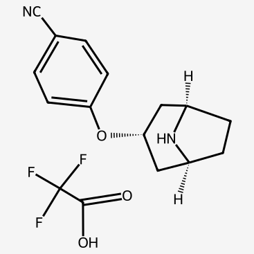 N#Cc1ccc(O[C@@H]2C[C@H]3CC[C@@H](C2)N3)cc1.O=C(O)C(F)(F)F